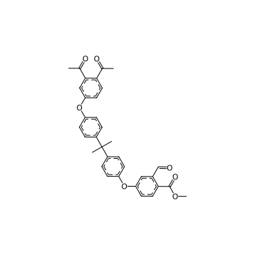 COC(=O)c1ccc(Oc2ccc(C(C)(C)c3ccc(Oc4ccc(C(C)=O)c(C(C)=O)c4)cc3)cc2)cc1C=O